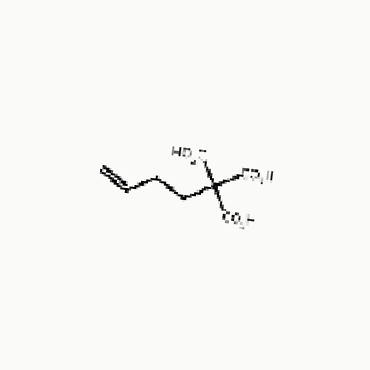 C=CCCC(C(=O)O)(C(=O)O)C(=O)O